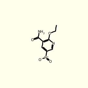 CCOc1ncc([N+](=O)[O-])cc1C(N)=O